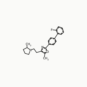 Cc1oc(-c2ccc(-c3ccccc3F)cc2)nc1CCN1CCCC1C